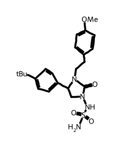 COc1ccc(CCN2C(=O)N(NS(N)(=O)=O)CC2c2ccc(C(C)(C)C)cc2)cc1